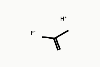 C=C(C)C.[F-].[H+]